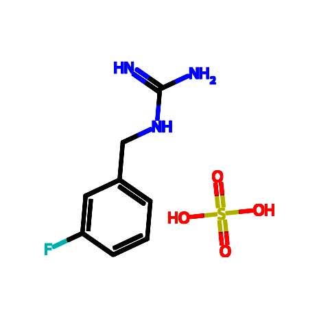 N=C(N)NCc1cccc(F)c1.O=S(=O)(O)O